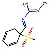 CS(=O)(=O)C1(C=NC(N)=NC#N)C=CC=CC1